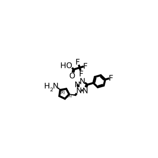 N[C@@H]1CC[C@H](Cn2nnc(-c3ccc(F)cc3)n2)C1.O=C(O)C(F)(F)F